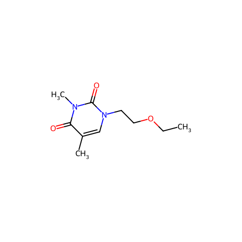 CCOCCn1cc(C)c(=O)n(C)c1=O